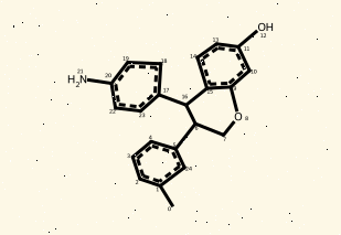 Cc1cccc(C2COc3cc(O)ccc3C2c2ccc(N)cc2)c1